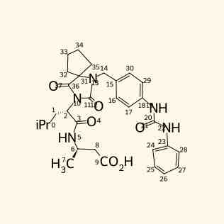 CC(C)C[C@@H](C(=O)N[C@H](C)CC(=O)O)N1C(=O)N(Cc2ccc(NC(=O)Nc3ccccc3)cc2)C2(CCCC2)C1=O